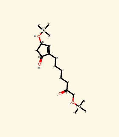 C[Si](C)(C)OCC(=O)CCCCCC1=CC(O[Si](C)(C)C)CC1=O